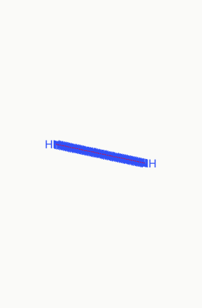 N=N/N=N/N=N/N=N/N=N/N=N/N=N/N=N/N=N/N=N/N=N/N=N/N=N/N=N/N=N/N=N/N=N/N=N/N=N/N=N/N=N/N=N/N=N/N=N/N=N/N=N/N=N/N=N/N=N/N=N/N=N/N=N/N=N/N=N/N=N/N=N/N=N/N=N/N=N/N=N/N=N/N=N/N=N/N=N/N=N/N=N/N=N/N=N/N=N/N=N/N=N